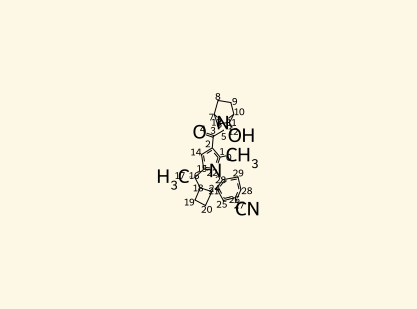 Cc1c(C(=O)CN2C3CCC2[C@@H](O)C3)cc([C@@H](C)C2CCC2)n1-c1ccc(C#N)cc1